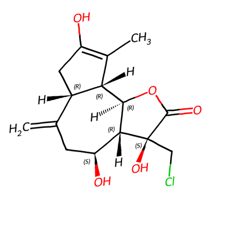 C=C1C[C@H](O)[C@@H]2[C@H](OC(=O)[C@]2(O)CCl)[C@H]2C(C)=C(O)C[C@@H]12